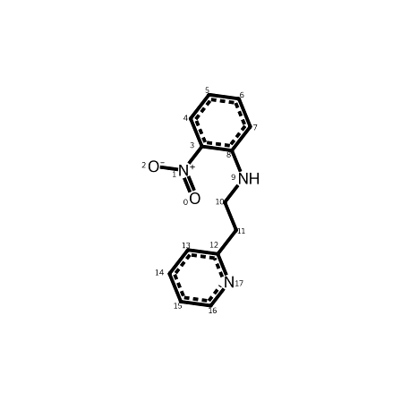 O=[N+]([O-])c1ccccc1NCCc1ccccn1